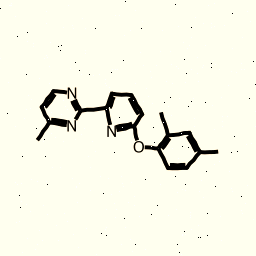 Cc1ccc(Oc2cccc(-c3nccc(C)n3)n2)c(C)c1